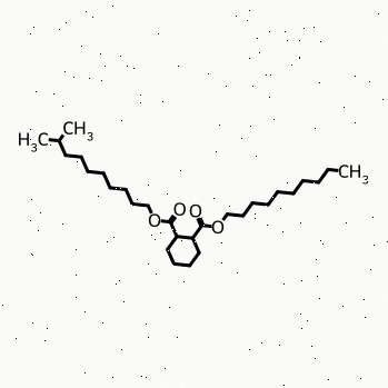 CCCCCCCCCCOC(=O)C1CCCCC1C(=O)OCCCCCCCCC(C)C